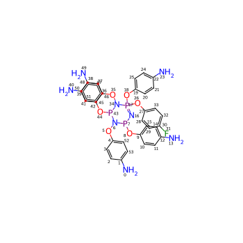 Nc1ccc(ON2P(Oc3ccc(N)cc3)N=P(Oc3ccc(N)cc3)(Oc3ccc(F)cc3)N(Oc3ccc(N)cc3)P2Oc2ccc(N)cc2)cc1